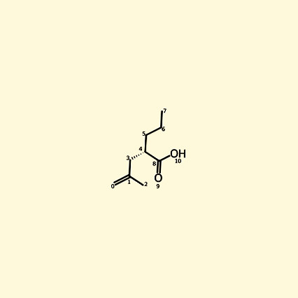 C=C(C)C[C@H](CCC)C(=O)O